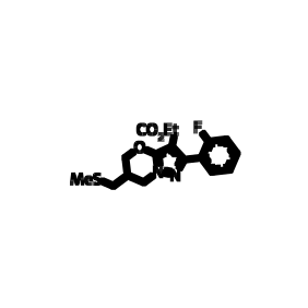 CCOC(=O)c1c(-c2ccccc2F)nn2c1OCC(CSC)C2